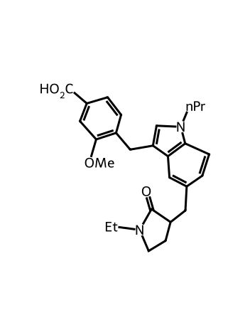 CCCn1cc(Cc2ccc(C(=O)O)cc2OC)c2cc(CC3CCN(CC)C3=O)ccc21